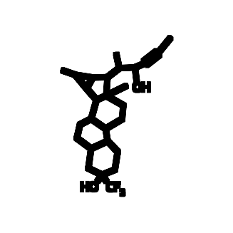 CC#CC(O)C(C)C1C2C(C)C2C2C3CCC4CC(O)(C(F)(F)F)CCC4C3CCC12C